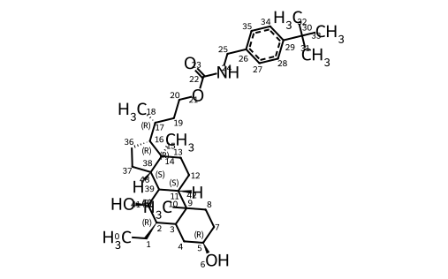 CC[C@@H]1C2C[C@H](O)CCC2(C)[C@H]2CC[C@]3(C)[C@@H]([C@H](C)CCOC(=O)NCc4ccc(C(C)(C)C)cc4)CC[C@H]3C2[C@@H]1O